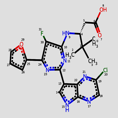 CC(C)(C)[C@@H](CC(=O)O)Nc1nc(-c2c[nH]c3ncc(Cl)nc23)nc(-c2ccco2)c1F